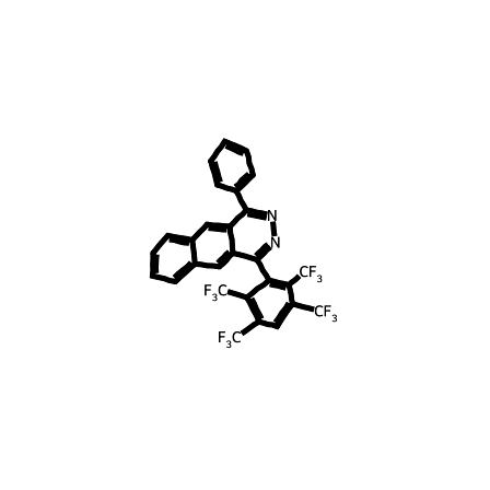 FC(F)(F)c1cc(C(F)(F)F)c(C(F)(F)F)c(-c2nnc(-c3ccccc3)c3cc4ccccc4cc23)c1C(F)(F)F